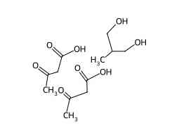 CC(=O)CC(=O)O.CC(=O)CC(=O)O.CC(CO)CO